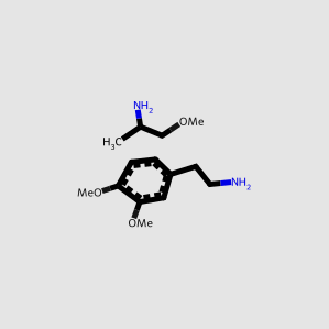 COCC(C)N.COc1ccc(CCN)cc1OC